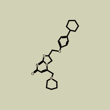 O=c1cc(CN2CCCCC2)n2c(n1)OC(COc1ccc(C3CCCCC3)cc1)C2